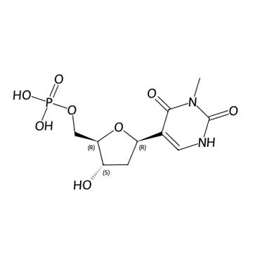 Cn1c(=O)[nH]cc([C@H]2C[C@H](O)[C@@H](COP(=O)(O)O)O2)c1=O